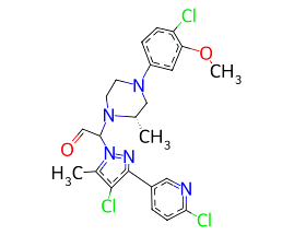 COc1cc(N2CCN(C(C=O)n3nc(-c4ccc(Cl)nc4)c(Cl)c3C)[C@@H](C)C2)ccc1Cl